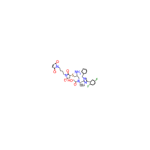 CC(C)(C)C(c1nc(-c2cc(F)ccc2F)cn1Cc1ccccc1)N(CC(CN)CSC1CC(=O)N(CCCCN2C(=O)C=CC2=O)C1=O)C(=O)CO